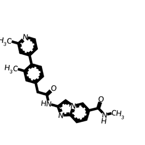 CNC(=O)c1ccc2nc(NC(=O)Cc3ccc(-c4ccnc(C)c4)c(C)c3)cn2c1